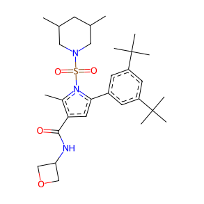 Cc1c(C(=O)NC2COC2)cc(-c2cc(C(C)(C)C)cc(C(C)(C)C)c2)n1S(=O)(=O)N1CC(C)CC(C)C1